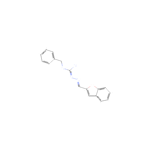 N/C(=N\N=C\c1cc2ccccc2o1)NCc1ccccc1